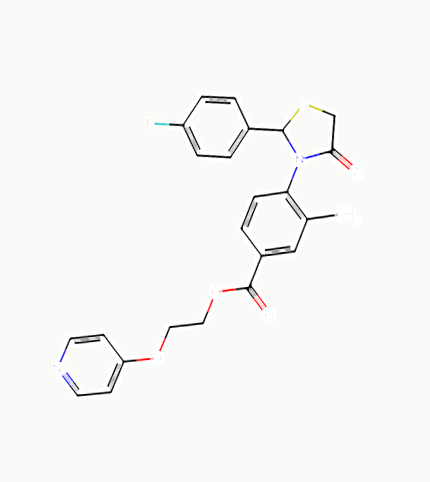 Cc1cc(C(=O)OCCOc2ccncc2)ccc1N1C(=O)CSC1c1ccc(F)cc1